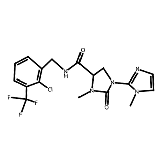 CN1C(=O)N(c2nccn2C)CC1C(=O)NCc1cccc(C(F)(F)F)c1Cl